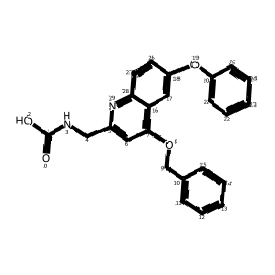 O=C(O)NCc1cc(OCc2ccccc2)c2cc(Oc3ccccc3)ccc2n1